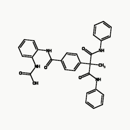 CC(C(=O)Nc1ccccc1)(C(=O)Nc1ccccc1)c1ccc(C(=O)Nc2ccccc2NC(=O)O)cc1